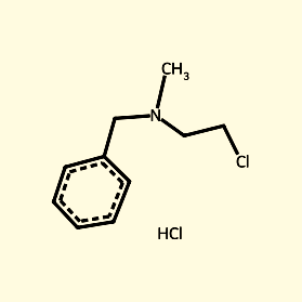 CN(CCCl)Cc1ccccc1.Cl